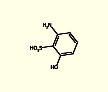 Nc1cccc(O)c1S(=O)(=O)O